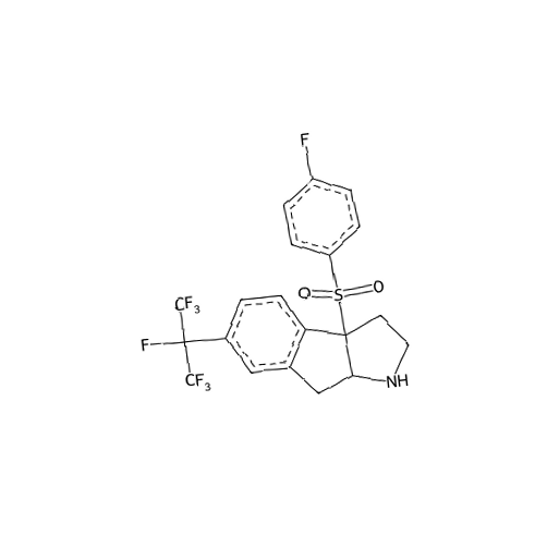 O=S(=O)(c1ccc(F)cc1)C12CCNC1Cc1cc(C(F)(C(F)(F)F)C(F)(F)F)ccc12